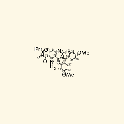 CCCc1nc2ccc(C(=O)N(C)C(=O)C(C)C)c(N)c2c(=O)n1C(c1ccc(OC)cc1)c1ccc(OC)cc1